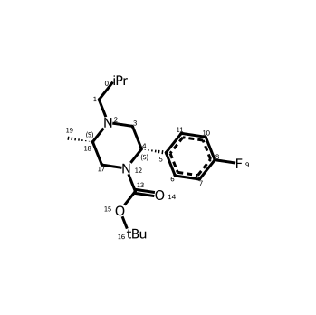 CC(C)CN1C[C@H](c2ccc(F)cc2)N(C(=O)OC(C)(C)C)C[C@@H]1C